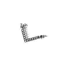 [Hf+4].[Hf+4].[O-2].[O-2].[O-2].[O-2].[O-2].[O-2].[O-2].[O-2].[O-2].[O-2].[O-2].[O-2].[O-2].[Ta+5].[Ta+5].[Ti+4].[Ti+4]